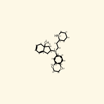 CC12CC=CC=C1CC(N(CCC1CCCCN1)c1ccc3c(c1)OCCO3)C2